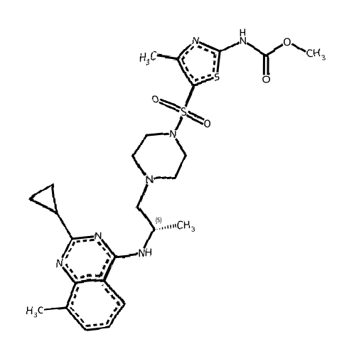 COC(=O)Nc1nc(C)c(S(=O)(=O)N2CCN(C[C@H](C)Nc3nc(C4CC4)nc4c(C)cccc34)CC2)s1